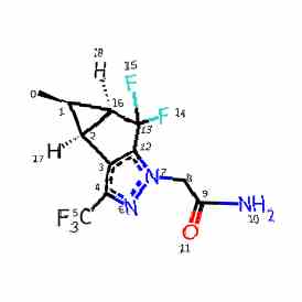 C[C@@H]1[C@@H]2c3c(C(F)(F)F)nn(CC(N)=O)c3C(F)(F)[C@H]12